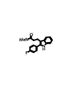 CNC(=O)CCc1c(-c2ccc(F)cc2)[nH]c2ccccc12